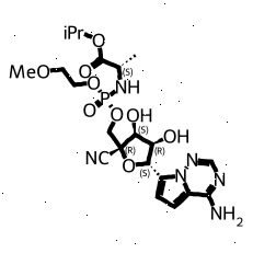 COCCOP(=O)(N[C@@H](C)C(=O)OC(C)C)OC[C@@]1(C#N)O[C@@H](c2ccc3c(N)ncnn23)[C@H](O)[C@@H]1O